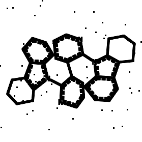 c1cnc(-n2c3c(c4ccccc42)CCCC3)c(-c2cccnc2-n2c3c(c4ccccc42)CCCC3)c1